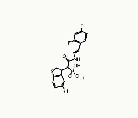 CP(=O)(O)C(C(=O)N/C=C/c1ccc(F)cc1F)C1CSc2ccc(Cl)cc21